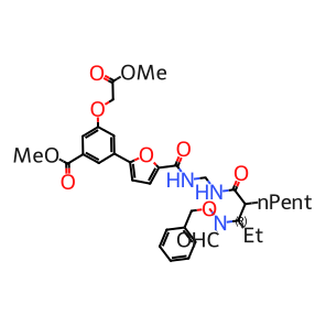 CCCCCC(C(=O)NCNC(=O)c1ccc(-c2cc(OCC(=O)OC)cc(C(=O)OC)c2)o1)[C@@H](CC)N(C=O)OCc1ccccc1